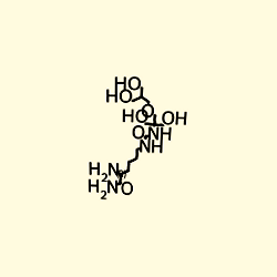 NC(=O)[C@H](N)CCCCNC(=O)NC(CO)(CO)COCC(CO)CO